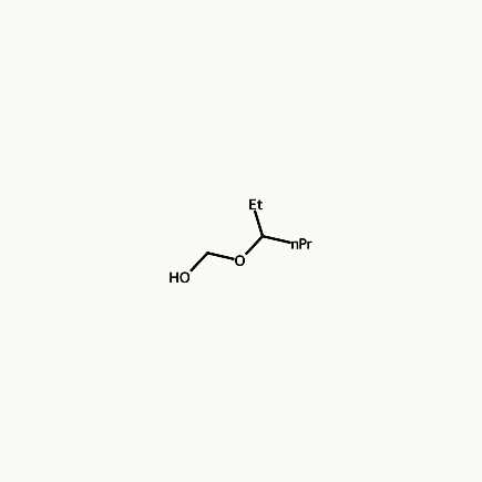 CCCC(CC)OCO